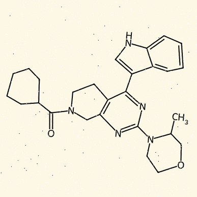 CC1COCCN1c1nc2c(c(-c3c[nH]c4ccccc34)n1)CCN(C(=O)C1CCCCC1)C2